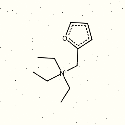 CC[N+](CC)(CC)Cc1ccco1